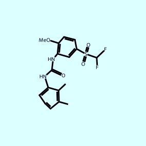 COc1ccc(S(=O)(=O)C(F)F)cc1NC(=O)Nc1cccc(C)c1C